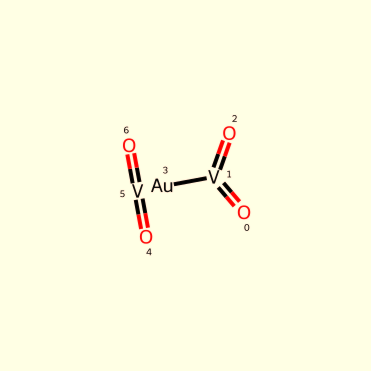 [O]=[V](=[O])[Au].[O]=[V]=[O]